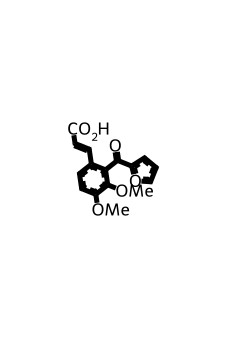 COc1ccc(/C=C/C(=O)O)c(C(=O)c2ccco2)c1OC